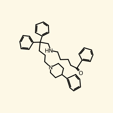 O=C(CCCCNCC(CCCN1CCC(c2ccccc2)CC1)(c1ccccc1)c1ccccc1)c1ccccc1